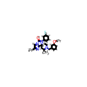 CC(C)Oc1cccc(CN2CC[C@]3(CC2C)c2nc(C(C)C)cn2C(=O)N3c2cccc(F)c2)c1